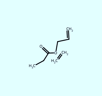 C=C.C=CCOC(=O)CC